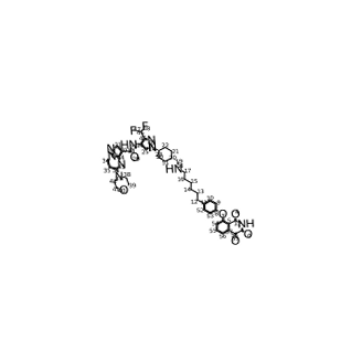 O=C1NC(=O)c2c(Oc3ccc(CCCCCCNC[C@H]4CC[C@H](n5cc(NC(=O)c6cnn7ccc(N8CCOCC8)nc67)c(C(F)F)n5)CC4)cc3)cccc2C1=O